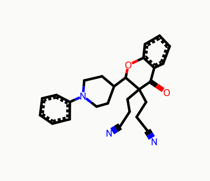 N#CCCC1(CCC#N)C(=O)c2ccccc2OC1C1CCN(c2ccccc2)CC1